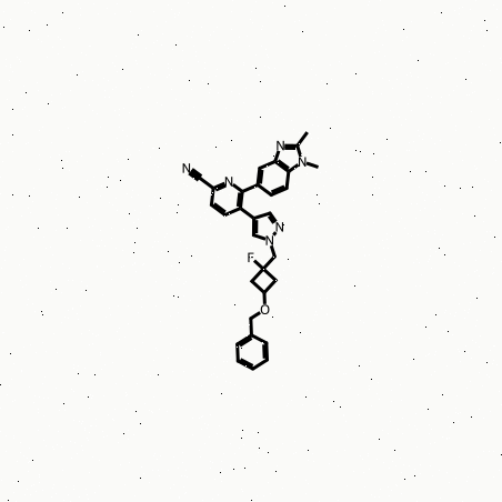 Cc1nc2cc(-c3nc(C#N)ccc3-c3cnn(CC4(F)CC(OCc5ccccc5)C4)c3)ccc2n1C